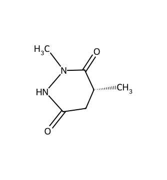 C[C@@H]1CC(=O)NN(C)C1=O